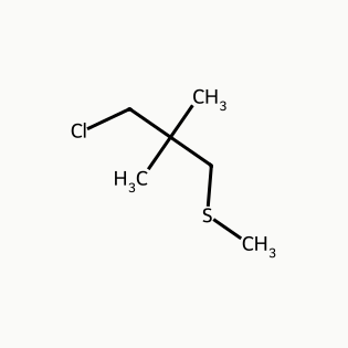 CSCC(C)(C)CCl